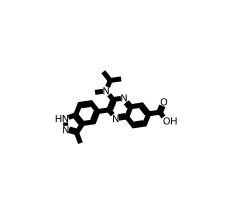 Cc1n[nH]c2ccc(-c3nc4ccc(C(=O)O)cc4nc3N(C)C(C)C)cc12